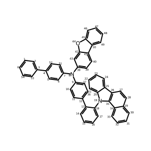 c1ccc(-c2ccc(N(c3ccc(-c4ccccc4-n4c5ccccc5c5ccc6ccccc6c54)cc3)c3ccc4c(c3)oc3ccccc34)cc2)cc1